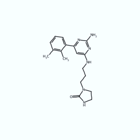 Cc1cccc(-c2cc(NCCCN3CCNC3=O)nc(N)n2)c1C